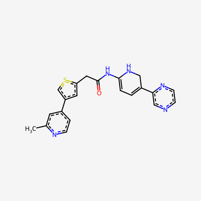 Cc1cc(-c2csc(CC(=O)NC3=CC=C(c4cnccn4)CN3)c2)ccn1